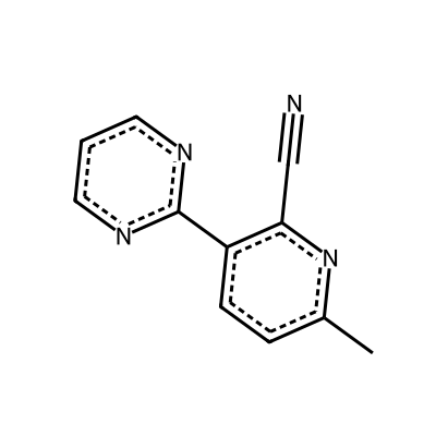 Cc1ccc(-c2ncccn2)c(C#N)n1